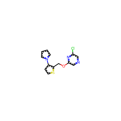 Clc1cncc(OCc2sccc2-n2cccc2)n1